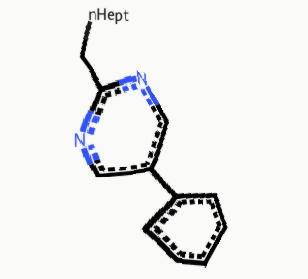 CCCCCCCCc1ncc(-c2cc[c]cc2)cn1